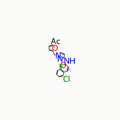 CC(=O)c1ccc(Cn2ccc(NC(=O)/C=C\c3c(F)cccc3Cl)n2)o1